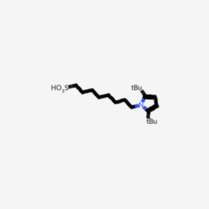 CC(C)(C)c1ccc(C(C)(C)C)n1CCCCCCCCS(=O)(=O)O